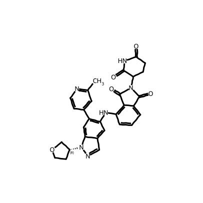 Cc1cc(-c2cc3c(cnn3[C@@H]3CCOC3)cc2Nc2cccc3c2C(=O)N(C2CCC(=O)NC2=O)C3=O)ccn1